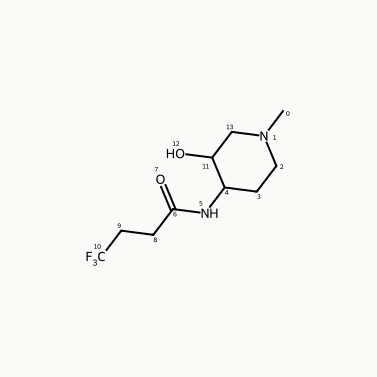 CN1CCC(NC(=O)CCC(F)(F)F)C(O)C1